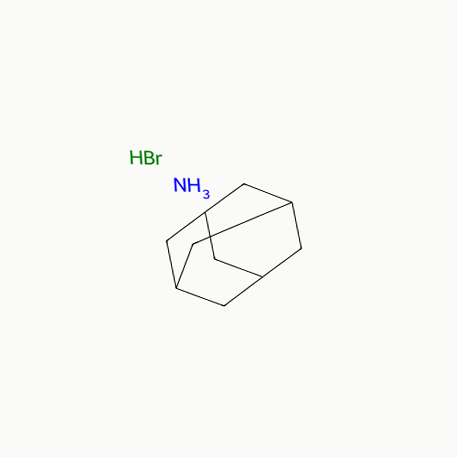 Br.C1C2CC3CC1CC(C2)C3.N